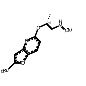 C[C@H](CNC(C)(C)C)Oc1ccc2oc(C(C)(C)C)cc2n1